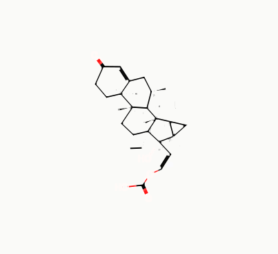 CC[C@]12CC[C@H]3[C@H]([C@@H]1[C@H]1C[C@H]1[C@@]2(O)/C=C\OC(=O)O)[C@H](C)CC1=CC(=O)CC[C@@H]13